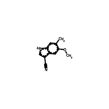 COc1cc2c(C#N)c[nH]c2cc1C